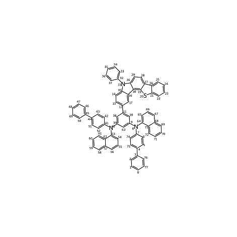 c1ccc(-c2ccc(N(c3cc(-c4ccc5c(c4)c4c6sc7ccccc7c6ccc4n5-c4ccccc4)cc(N(c4ccc(-c5ccccc5)cc4)c4cccc5ccccc45)c3)c3cccc4ccccc34)cc2)cc1